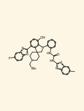 Cc1ccc2nc(NC(=O)Nc3ccccc3N3CC4(CCN(CC(C)(C)C)CC4)c4c(-c5nc6cc(F)ccc6s5)ccc(O)c43)sc2c1